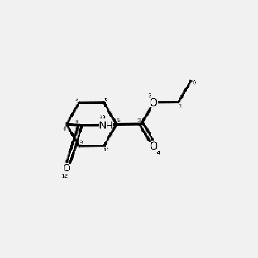 CCOC(=O)C12CCC(CC1)C(=O)N2